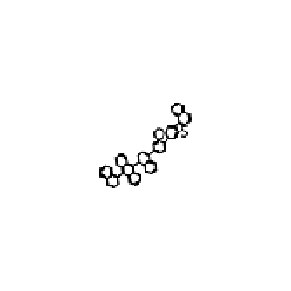 c1ccc2c(-c3c4ccccc4c(-c4ccc(-c5ccc6c(c5)oc5cc7c(cc56)sc5ccc6ccccc6c57)c5ccccc45)c4ccccc34)cccc2c1